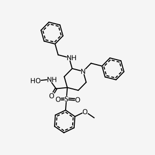 COc1ccccc1S(=O)(=O)C1(C(=O)NO)CCN(Cc2ccccc2)C(NCc2ccccc2)C1